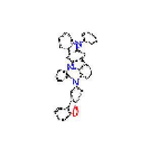 c1ccc(-n2c3ccccc3c3cc4c(cc32)c2cccc3c2n4-c2ccccc2N3c2ccc3oc4ccccc4c3c2)cc1